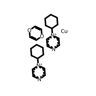 C1=COC=CO1.[Cu].c1c[n+](C2CCCCC2)ccn1.c1c[n+](C2CCCCC2)ccn1